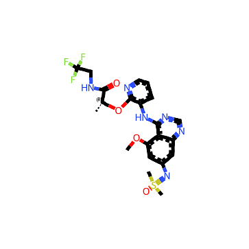 COc1cc(N=S(C)(C)=O)cc2ncnc(Nc3cccnc3O[C@H](C)C(=O)NCC(F)(F)F)c12